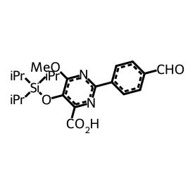 COc1nc(-c2ccc(C=O)cc2)nc(C(=O)O)c1O[Si](C(C)C)(C(C)C)C(C)C